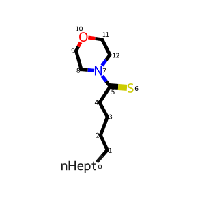 CCCCCCCCCCCC(=S)N1CCOCC1